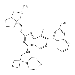 COc1cc(-c2ncc3c(NCC4(N5CCOCC5)CCC4)nc(OC[C@@]45CCCN4C[C@H](P)C5)nc3c2F)c2ccccc2c1